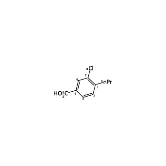 CCCc1ccc(C(=O)O)cc1Cl